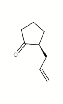 C=CC[C@@H]1CCCC1=O